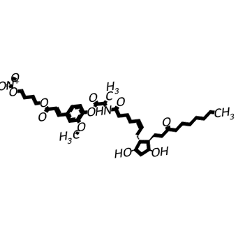 CCCCCCCC(=O)CC[C@@H]1[C@@H](C/C=C\CCCC(=O)NC(C)C(=O)Oc2ccc(/C=C/C(=O)OCCCCO[N+](=O)[O-])cc2OC)[C@@H](O)C[C@H]1O